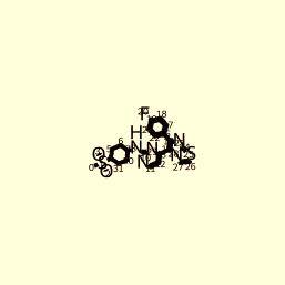 CS(=O)(=O)C1CCC(Nc2nccc(-c3c(-c4ccc(F)cc4)nc4sccn34)n2)CC1